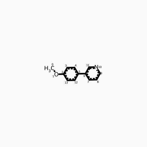 COc1ccc(-c2cc[c]nc2)cc1